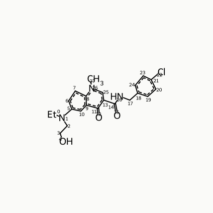 CCN(CCO)c1ccc2c(c1)c(=O)c(C(=O)NCc1ccc(Cl)cc1)cn2C